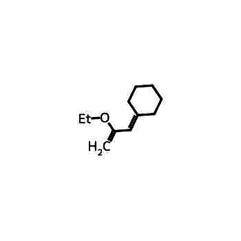 C=C(C=C1CCCCC1)OCC